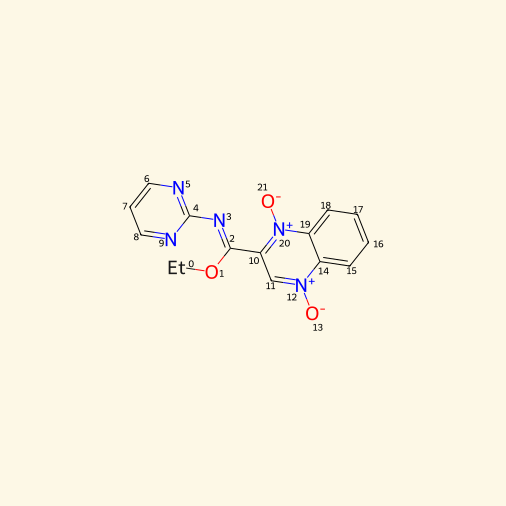 CCOC(=Nc1ncccn1)c1c[n+]([O-])c2ccccc2[n+]1[O-]